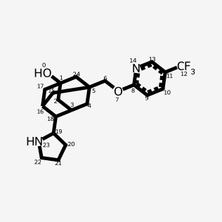 OC12CC3CC(COc4ccc(C(F)(F)F)cn4)(CC(C1)C3C1CCCN1)C2